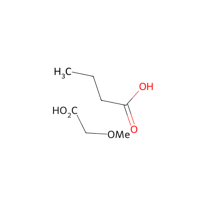 CCCC(=O)O.COCC(=O)O